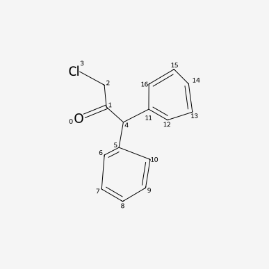 O=C(CCl)C(c1ccccc1)c1ccccc1